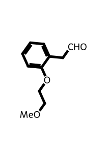 COCCOc1ccccc1CC=O